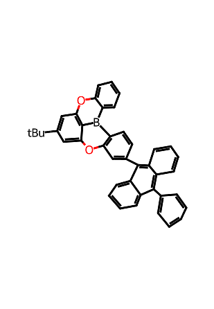 CC(C)(C)c1cc2c3c(c1)Oc1cc(-c4c5ccccc5c(-c5ccccc5)c5ccccc45)ccc1B3c1ccccc1O2